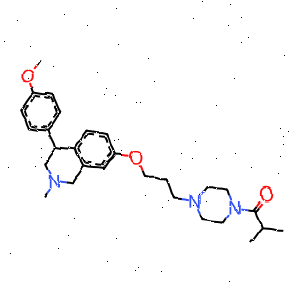 COc1ccc(C2CN(C)Cc3cc(OCCCN4CCN(C(=O)C(C)C)CC4)ccc32)cc1